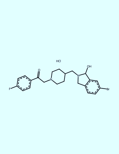 Cl.O=C(CN1CCC(CN2Cc3ccc(Br)cc3C2O)CC1)c1ccc(F)cc1